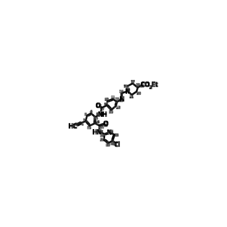 C#Cc1ccc(NC(=O)c2ccc(N=CN3CCC(C(=O)OCC)CC3)cc2)c(C(=O)Nc2ccc(Cl)cn2)c1